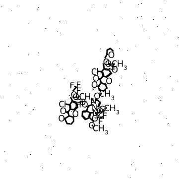 COCc1cccc(C(O)c2nc(OC)cc(OC)n2)c1NS(=O)(=O)C(F)F.CS(=O)(=O)c1ccc(C(=O)C2C(=O)CCCC2=O)c(Cl)c1COCC(F)(F)F.CS(=O)(=O)c1ccc(C(=O)C2C(=O)CCCC2=O)c(Cl)c1COCC1CCCO1